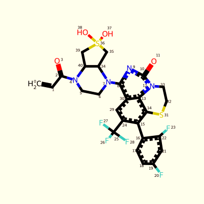 C=CC(=O)N1CCN(c2nc(=O)n3c4c(c(-c5ccc(F)cc5F)c(C(F)(F)F)cc24)SCC3)C2CS(O)(O)CC21